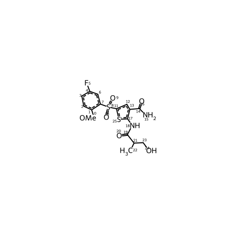 COc1ccc(F)cc1S(=O)(=O)c1cc(C(N)=O)c(NC(=O)C(C)CO)s1